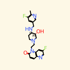 Cc1ncc(CN[C@H]2CCN(CCn3c(=O)ccc4ncc(F)cc43)C[C@H]2O)cc1F